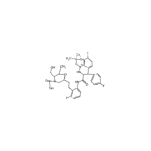 CC1OC(CCc2c(F)cccc2NC(=O)C(NC(=O)OC(C)(C)C)C(c2ccc(F)cc2)c2ccc(F)cc2)CN(C(=O)O)C1CO